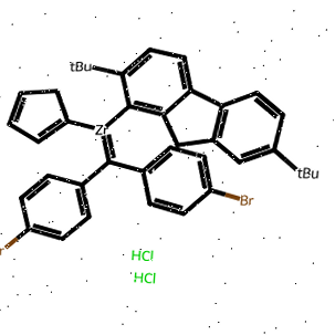 CC(C)(C)c1ccc2c(c1)Cc1c-2ccc(C(C)(C)C)[c]1[Zr]([C]1=CC=CC1)=[C](c1ccc(Br)cc1)c1ccc(Br)cc1.Cl.Cl